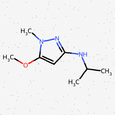 COc1cc(NC(C)C)nn1C